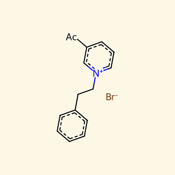 CC(=O)c1ccc[n+](CCc2ccccc2)c1.[Br-]